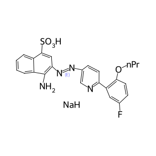 CCCOc1ccc(F)cc1-c1ccc(/N=N/c2cc(S(=O)(=O)O)c3ccccc3c2N)cn1.[NaH]